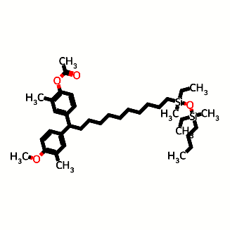 CCCC[Si](C)(CC)O[Si](C)(CC)CCCCCCCCCCC(c1ccc(OC)c(C)c1)c1ccc(OC(C)=O)c(C)c1